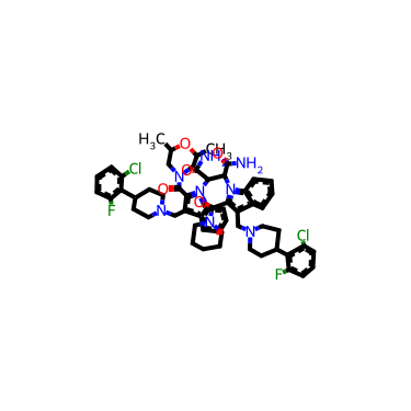 CC1CN(C(=O)c2c(CN3CCC(c4c(F)cccc4Cl)CC3)c3ccccc3n2C(C(N)=O)C(C(N)=O)n2c(C(=O)N3CCCCC3)c(CN3CCC(c4c(F)cccc4Cl)CC3)c3ccccc32)CC(C)O1